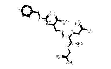 C=C(C)CO[C@@H](C=O)[C@H](COCC(NC(=O)OCc1ccccc1)C(=O)OC)OCC(=C)C